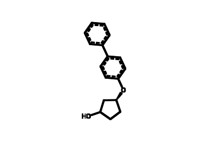 OC1CC[C@H](Oc2ccc(-c3ccccc3)cc2)C1